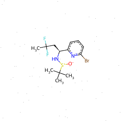 CC(F)(F)C[C@H](N[S+]([O-])C(C)(C)C)c1cccc(Br)n1